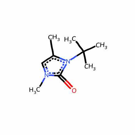 Cc1cn(C)c(=O)n1C(C)(C)C